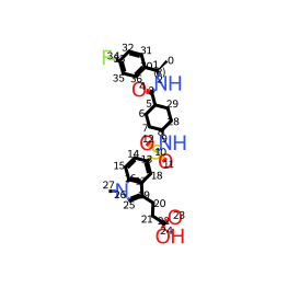 C[C@@H](NC(=O)C1CCC(NS(=O)(=O)c2ccc3c(c2)c(CCC(=O)O)cn3C)CC1)c1ccc(F)cc1